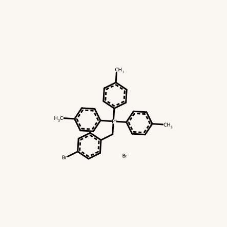 Cc1ccc([P+](Cc2ccc(Br)cc2)(c2ccc(C)cc2)c2ccc(C)cc2)cc1.[Br-]